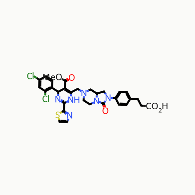 COC(=O)C1=C(CN2CCN3C(=O)N(c4ccc(CCC(=O)O)cc4)CC3C2)NC(c2nccs2)=NC1c1ccc(Cl)cc1Cl